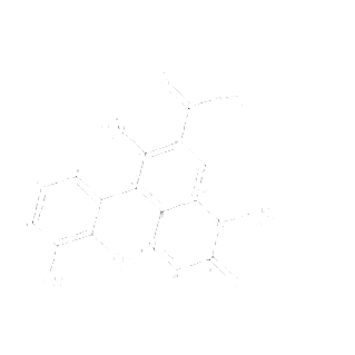 Cc1c(O)cccc1-c1c(N)c(C(N)=O)cc2c1ncc(=O)n2C